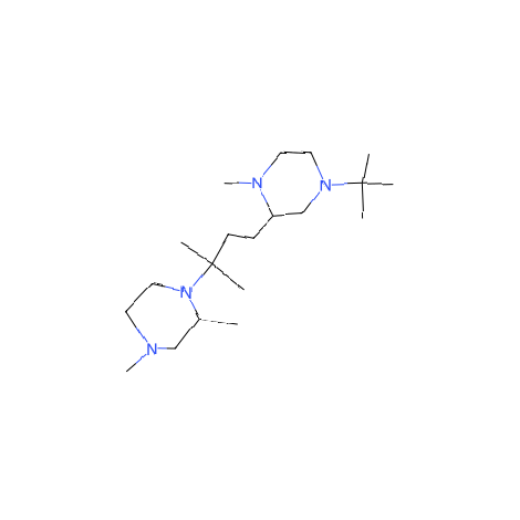 CC1CN(C)CCN1C(C)(C)CCC1CN(C(C)(C)C)CCN1C